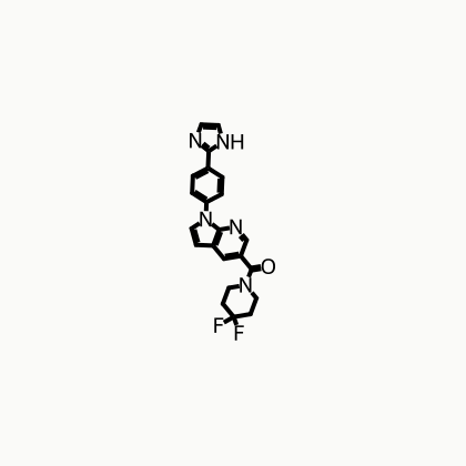 O=C(c1cnc2c(ccn2-c2ccc(-c3ncc[nH]3)cc2)c1)N1CCC(F)(F)CC1